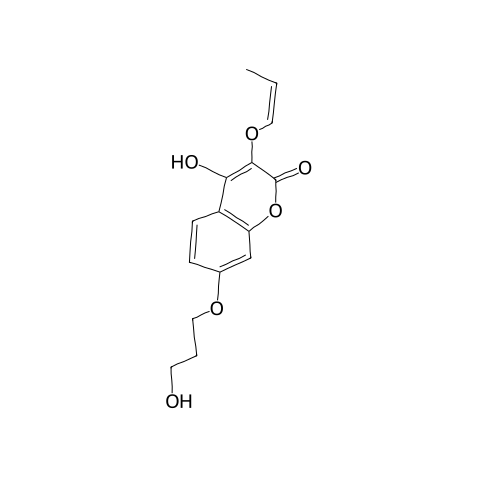 C/C=C\Oc1c(O)c2ccc(OCCCO)cc2oc1=O